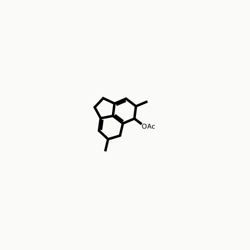 CC(=O)OC1C2=C3C(=CC(C)C2)CCC3=CC1C